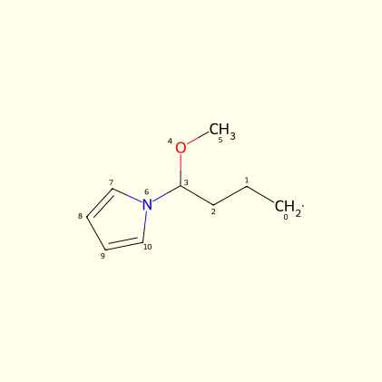 [CH2]CCC(OC)n1cccc1